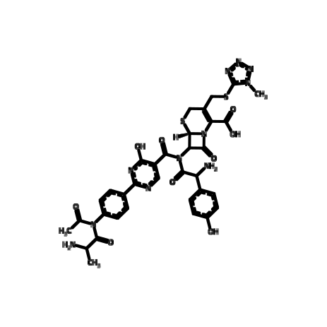 CC(=O)N(C(=O)C(C)N)c1ccc(-c2ncc(C(=O)N(C(=O)C(N)c3ccc(O)cc3)C3C(=O)N4C(C(=O)O)=C(CSc5nnnn5C)CS[C@@H]34)c(O)n2)cc1